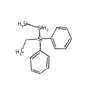 CC[Si]([SiH2][SiH3])(c1ccccc1)c1ccccc1